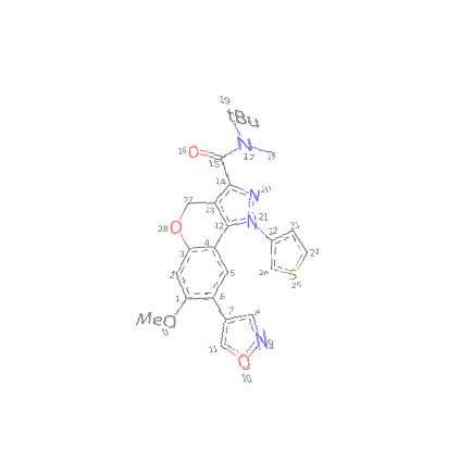 COc1cc2c(cc1-c1cnoc1)-c1c(c(C(=O)N(C)C(C)(C)C)nn1-c1ccsc1)CO2